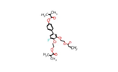 C=C(C)C(=O)OCCOc1c(F)cc(-c2ccc(OC(=O)C(=C)C)cc2)cc1OCCOC(=O)CC